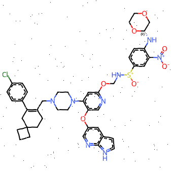 O=[N+]([O-])c1cc([S+]([O-])NCOc2cc(N3CCN(CC4=C(c5ccc(Cl)cc5)CC5(CCC5)CC4)CC3)c(Oc3cnc4[nH]ccc4c3)cn2)ccc1N[C@H]1COCCO1